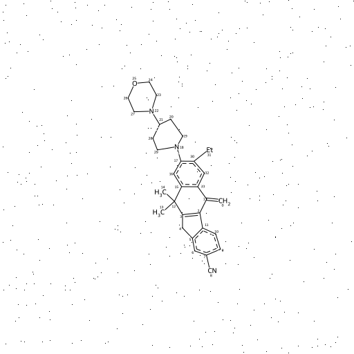 C=C1C2=C(Cc3cc(C#N)ccc32)C(C)(C)c2cc(N3CCC(N4CCOCC4)CC3)c(CC)cc21